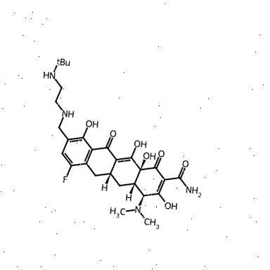 CN(C)[C@@H]1C(O)=C(C(N)=O)C(=O)[C@@]2(O)C(O)=C3C(=O)c4c(O)c(CNCCNC(C)(C)C)cc(F)c4C[C@H]3C[C@@H]12